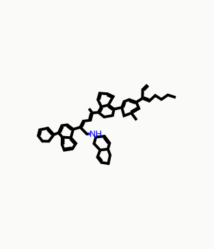 C=C/C(=C\CCCC)C1=CC=C(C2=c3ccccc3=C(/C(C)=C/C=C(\CNC3C=CC4CCC=CC4C3)c3ccc(C4=CC=CCC4)c4ccccc34)CC2)CC(C)=C1